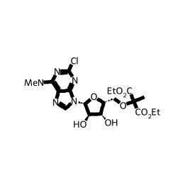 CCOC(=O)C(C)(OC[C@H]1O[C@@H](n2cnc3c(NC)nc(Cl)nc32)[C@H](O)[C@H]1O)C(=O)OCC